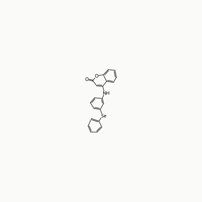 O=c1cc(Nc2cccc([Se]c3ccccc3)c2)c2ccccc2o1